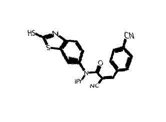 CC(C)N(C(=O)/C(C#N)=C\c1ccc(C#N)cc1)c1ccc2nc(S)sc2c1